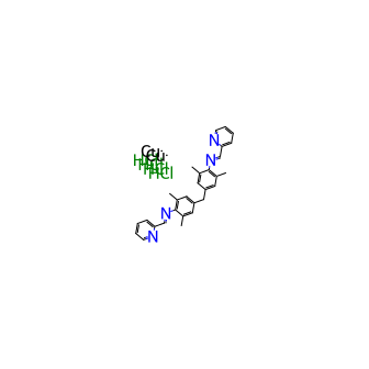 Cc1cc(Cc2cc(C)c(N=Cc3ccccn3)c(C)c2)cc(C)c1N=Cc1ccccn1.Cl.Cl.Cl.Cl.[Cu].[Cu]